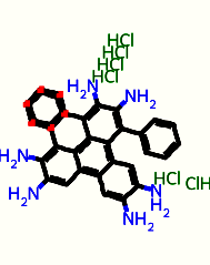 Cl.Cl.Cl.Cl.Cl.Cl.Nc1cc2c3cc(N)c(N)c(-c4ccccc4)c3c3c(-c4ccccc4)c(N)c(N)c(-c4ccccc4)c3c2cc1N